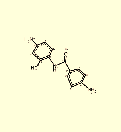 N#Cc1cc(N)ccc1NC(=O)c1ccc(N)cc1